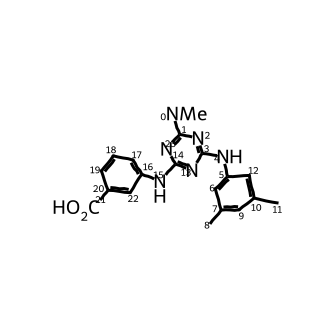 CNc1nc(Nc2cc(C)cc(C)c2)nc(Nc2cccc(C(=O)O)c2)n1